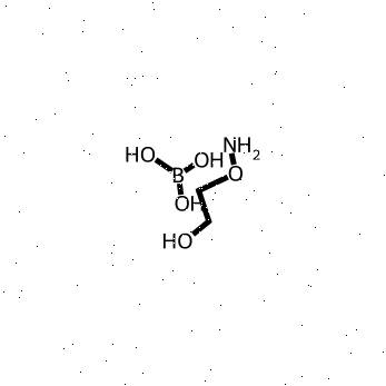 NOCCO.OB(O)O